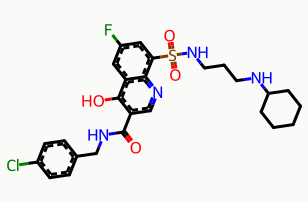 O=C(NCc1ccc(Cl)cc1)c1cnc2c(S(=O)(=O)NCCCNC3CCCCC3)cc(F)cc2c1O